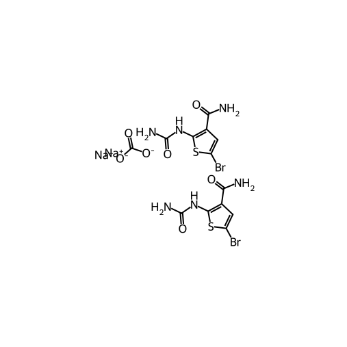 NC(=O)Nc1sc(Br)cc1C(N)=O.NC(=O)Nc1sc(Br)cc1C(N)=O.O=C([O-])[O-].[Na+].[Na+]